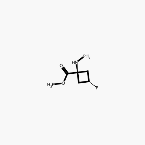 O=C(OP)[C@]1(NP)C[C@H](F)C1